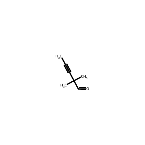 CC#CC(C)(C)C=O